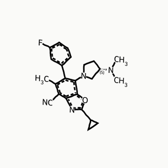 Cc1c(-c2cccc(F)c2)c(N2CC[C@H](N(C)C)C2)c2oc(C3CC3)nc2c1C#N